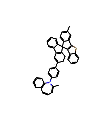 CC1=CC=CC2=C(C=C=C=C2)N1c1ccc(C2=CC3=C(CC2)C2(c4ccccc43)c3ccc(C)cc3-c3sc4ccccc4c32)cc1